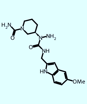 COc1ccc2[nH]c(CNC(=O)N(N)[C@@H]3CCCN(C(N)=O)C3)cc2c1